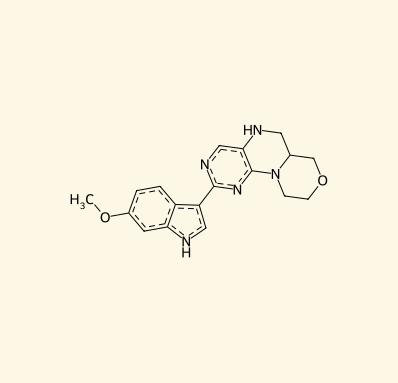 COc1ccc2c(-c3ncc4c(n3)N3CCOCC3CN4)c[nH]c2c1